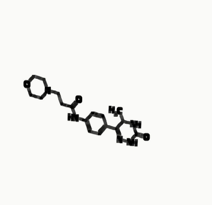 CC1NC(=O)NN=C1c1ccc(NC(=O)CCN2CCOCC2)cc1